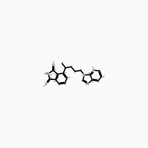 CC(CCCn1cnc2cccnc21)c1cccc2c1C(=O)NC2=O